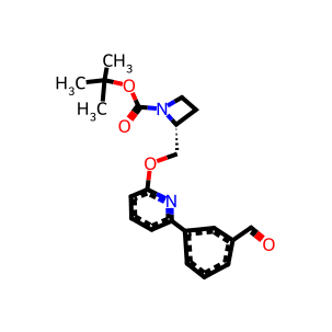 CC(C)(C)OC(=O)N1CC[C@@H]1COc1cccc(-c2cccc(C=O)c2)n1